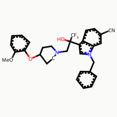 COc1ccccc1OC1CCN(CC(O)(c2cn(Cc3ccccc3)c3cc(C#N)ccc23)C(F)(F)F)CC1